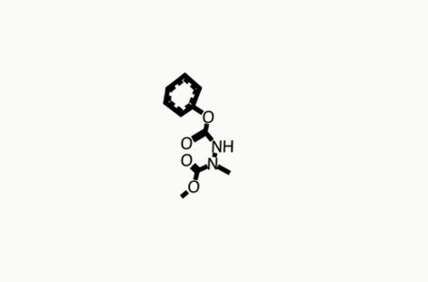 COC(=O)N(C)NC(=O)Oc1ccccc1